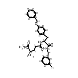 CC(C[CH]C(=O)NC(Cc1ccc(OCc2ccccc2)cc1)C(=O)NCc1cccc(I)c1)C(N)=O